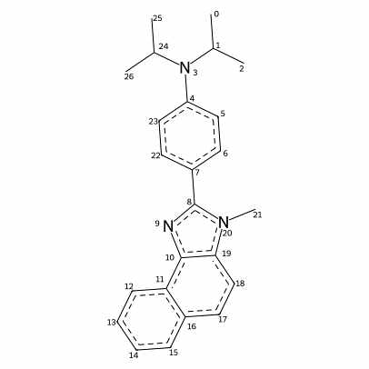 CC(C)N(c1ccc(-c2nc3c4ccccc4ccc3n2C)cc1)C(C)C